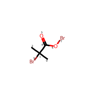 CC(C)(Br)C(=O)OBr